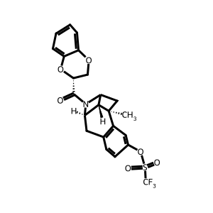 C[C@@]12CC3[C@H]1[C@@H](Cc1ccc(OS(=O)(=O)C(F)(F)F)cc12)N3C(=O)[C@H]1COc2ccccc2O1